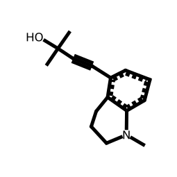 CN1CCCc2c(C#CC(C)(C)O)cccc21